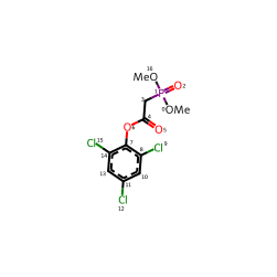 COP(=O)(CC(=O)Oc1c(Cl)cc(Cl)cc1Cl)OC